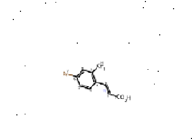 O=C(O)/C=C/c1ccc(Br)cc1C(F)(F)F